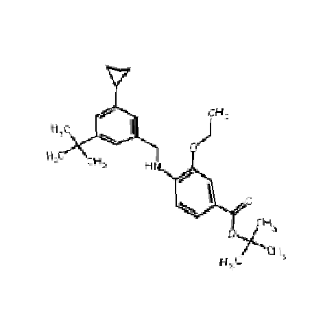 CCOc1cc(C(=O)OC(C)(C)C)ccc1NCc1cc(C2CC2)cc(C(C)(C)C)c1